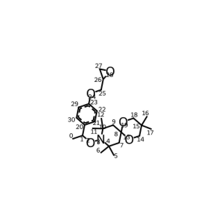 CC(ON1C(C)(C)CC2(CC1(C)C)OCC(C)(C)CO2)c1ccc(OCC2CO2)cc1